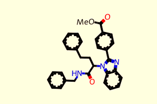 COC(=O)c1ccc(-c2nc3ccccc3n2C(CCc2ccccc2)C(=O)NCc2ccccc2)cc1